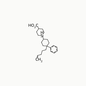 C=CCCCC1(c2ccccc2)CCC([SiH]2CCC(C(=O)O)CC2)CC1